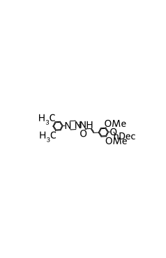 CCCCCCCCCCOc1c(OC)cc(C=CC(=O)NN2CCN(c3cc(C)cc(C)c3)CC2)cc1OC